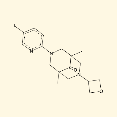 CC12CN(c3ccc(I)cn3)CC(C)(CN(C3COC3)C1)C2=O